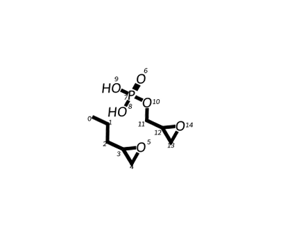 CCCC1CO1.O=P(O)(O)OCC1CO1